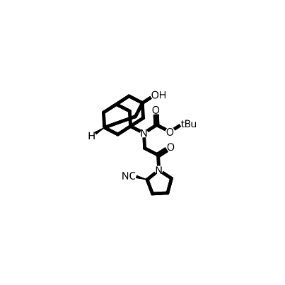 CC(C)(C)OC(=O)N(CC(=O)N1CCC[C@H]1C#N)C12CC3C[C@H](CC(O)(C3)C1)C2